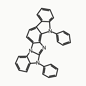 c1ccc(-n2c3ccccc3c3ccc4c(nc5n(-c6ccccc6)c6ccccc6n45)c32)cc1